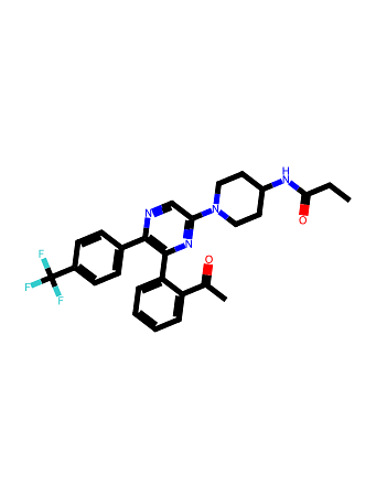 CCC(=O)NC1CCN(c2cnc(-c3ccc(C(F)(F)F)cc3)c(-c3ccccc3C(C)=O)n2)CC1